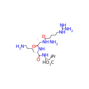 CC(C)C[C@H](NC(=O)[C@H](CCCCN)NC(=O)[C@H](C)NC(=O)[C@@H](N)CCCNC(=N)N)C(=O)O